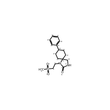 CS(=O)(=O)CCN1C(=O)NCC12CCC(c1ccccc1)CC2